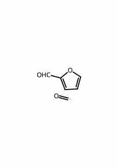 O=Cc1ccco1.[CH]=O